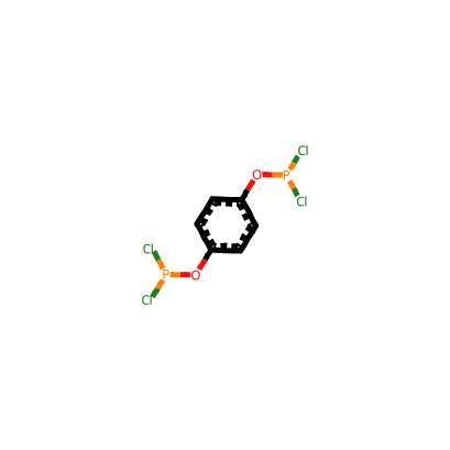 ClP(Cl)Oc1ccc(OP(Cl)Cl)cc1